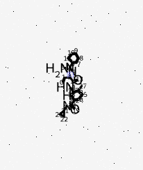 C=C/C(=N\N(N)c1ccccc1)C(=O)Nc1cc(C(=O)NC2CC2)ccc1C